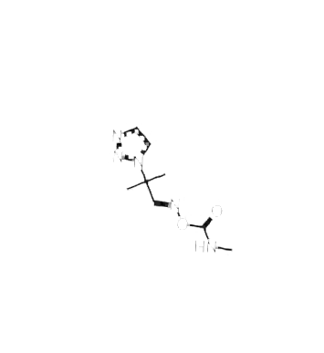 CNC(=O)ON=CC(C)(C)n1ccnn1